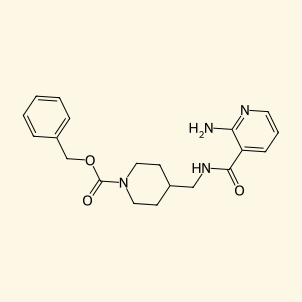 Nc1ncccc1C(=O)NCC1CCN(C(=O)OCc2ccccc2)CC1